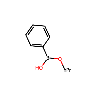 CCCOB(O)c1ccccc1